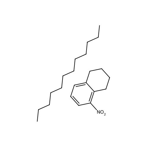 CCCCCCCCCCCC.O=[N+]([O-])c1cccc2c1CCCC2